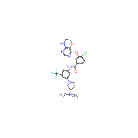 CN(C)[C@H]1CCN(c2cc(NC(=O)c3ccc(Cl)c(Oc4ncnc5c4OCCN5)c3)cc(C(F)(F)F)c2)C1